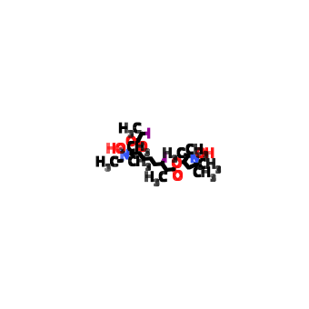 CCN(O)C(C)(C)C(CCCC(I)C(C)C(=O)OC1CC(C)(C)N(O)C1(C)C)OC(=O)C(C)I